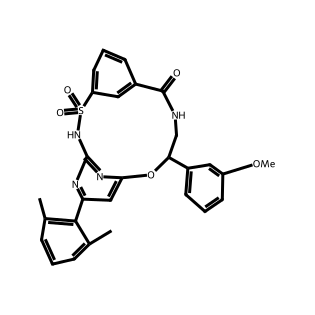 COc1cccc(C2CNC(=O)c3cccc(c3)S(=O)(=O)Nc3nc(cc(-c4c(C)cccc4C)n3)O2)c1